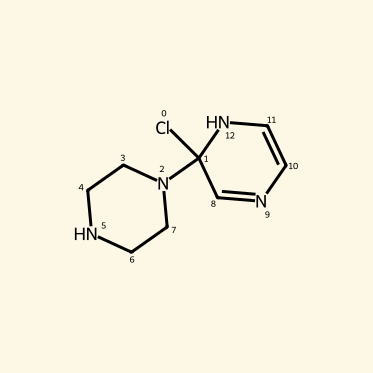 ClC1(N2CCNCC2)C=NC=CN1